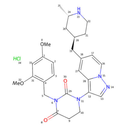 COc1ccc(CN2C(=O)CCN(c3cnn4ccc(C[C@@H]5CCN[C@@H](C)C5)cc34)C2=O)c(OC)c1.Cl